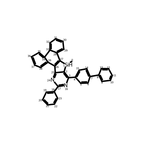 C[SiH]1c2c(-c3ccc(-c4ccccc4)cc3)nc(-c3ccccc3)nc2-c2c1c1ccccc1c1ccccc21